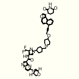 O=C1CC[C@H](c2coc3ccc4c(C#CCOC5CCN(CC6CCC(n7cc(NC(=O)c8cnn9ccc(N%10C[C@H]%11C[C@@H]%10CO%11)nc89)c(C(F)F)n7)CC6)CC5)cccc4c23)C(=O)N1